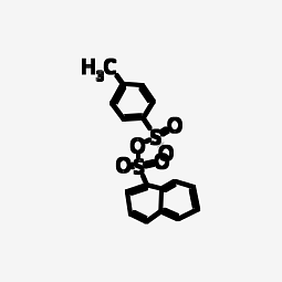 Cc1ccc(S(=O)(=O)OS(=O)(=O)c2cccc3ccccc23)cc1